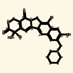 CCc1c2c(nc3cc(CN4CCCCC4)c(O)cc13)-c1cc3c(c(=O)n1C2)COC(=O)[C@]3(O)CC